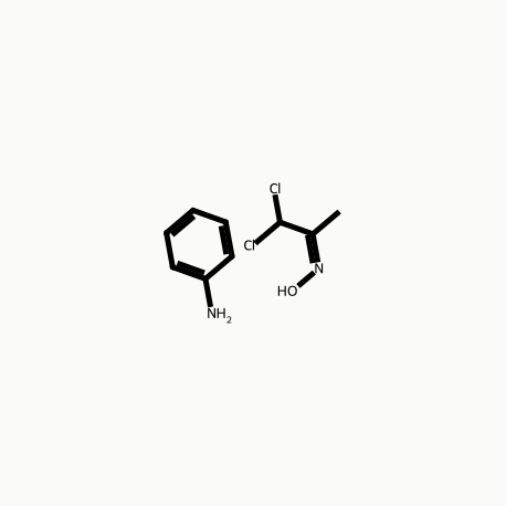 CC(=NO)C(Cl)Cl.Nc1ccccc1